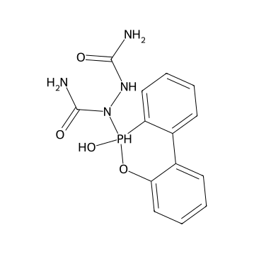 NC(=O)NN(C(N)=O)[PH]1(O)Oc2ccccc2-c2ccccc21